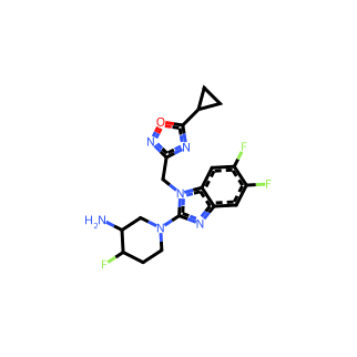 NC1CN(c2nc3cc(F)c(F)cc3n2Cc2noc(C3CC3)n2)CCC1F